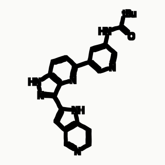 CC(C)(C)C(=O)Nc1cncc(-c2ccc3[nH]nc(-c4cc5cnccc5[nH]4)c3n2)c1